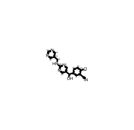 N#Cc1cc(C(O)c2cnc(NCc3cncnc3)nc2)ccc1Cl